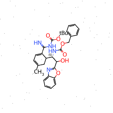 CC1=CC=C(C(=N)NC(=O)OC(C)(C)C)C([C@H](NC(=O)OCc2ccccc2)C(O)c2nc3ccccc3o2)C1